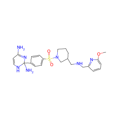 COc1cccc(CNCC2CCCN(S(=O)(=O)c3ccc(C4(N)N=C(N)C=CN4)cc3)C2)n1